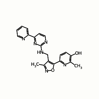 Cc1nc(-c2onc(C)c2CNc2nccc(-c3ccccn3)n2)ccc1O